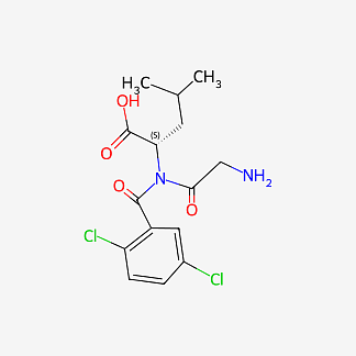 CC(C)C[C@@H](C(=O)O)N(C(=O)CN)C(=O)c1cc(Cl)ccc1Cl